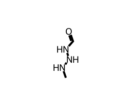 CNNNC=O